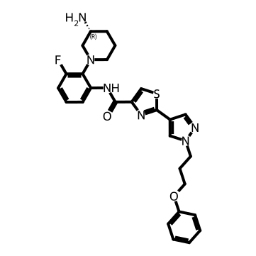 N[C@@H]1CCCN(c2c(F)cccc2NC(=O)c2csc(-c3cnn(CCCOc4ccccc4)c3)n2)C1